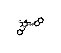 CC(C=O)N(Cc1ccccc1)CC1(CNc2ccc3ccccc3c2)CC1